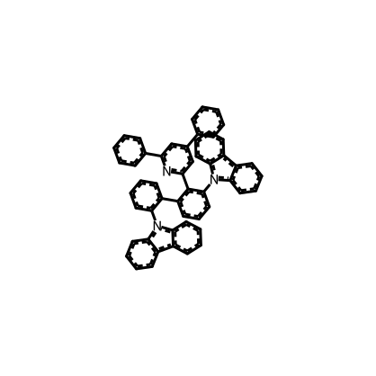 c1ccc(-c2cc(-c3ccccc3)nc(-c3c(-c4ccccc4-n4c5ccccc5c5ccccc54)cccc3-n3c4ccccc4c4ccccc43)c2)cc1